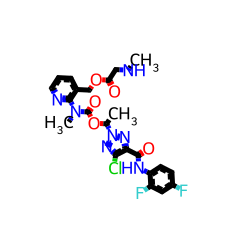 CNCC(=O)OCc1cccnc1N(C)C(=O)OC(C)n1nc(Cl)c(C(=O)Nc2ccc(F)cc2F)n1